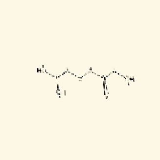 O=C(CO)CCCC(O)O